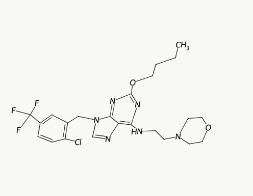 CCCCOc1nc(NCCN2CCOCC2)c2ncn(Cc3cc(C(F)(F)F)ccc3Cl)c2n1